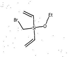 C=C[Si](C=C)(CBr)OCC